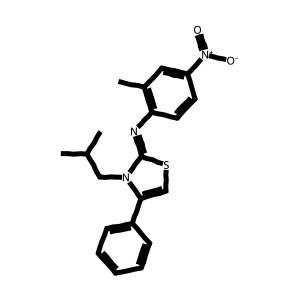 Cc1cc([N+](=O)[O-])ccc1N=c1scc(-c2ccccc2)n1CC(C)C